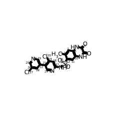 Cc1cc2[nH]c(=O)c(=O)[nH]c2cc1S(=O)(=O)Nc1cc(Cl)c(-c2cncc(Cl)c2)cn1